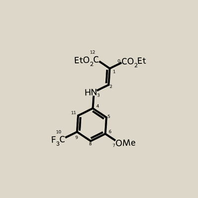 CCOC(=O)C(=CNc1cc(OC)cc(C(F)(F)F)c1)C(=O)OCC